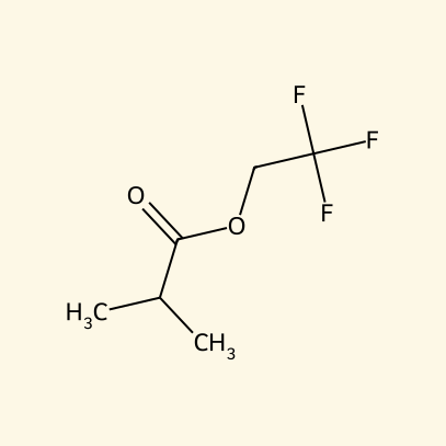 CC(C)C(=O)OCC(F)(F)F